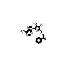 CC(COC[C@H]1O[C@@H](n2cnc3c(N)ncnc32)[C@H](O)[C@@H]1O)c1ccccc1